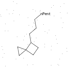 CCCCCCCCC1CCC12CC2